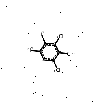 Clc1cc(Cl)c(I)c(Cl)c1Cl